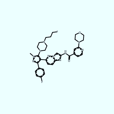 Cn1nc(-c2ccc(F)cc2)c(-c2ccc3nc(NC(=O)c4ccnc(N5CCOCC5)c4)cn3n2)c1N1CCN(CCCF)CC1